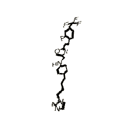 Fc1cc(C(F)(F)F)ccc1/C=C/c1nc(CNc2ccc(CCCCn3ccnn3)cc2)co1